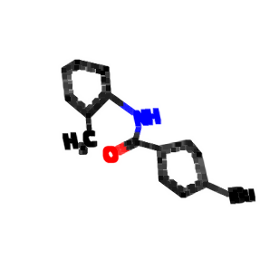 CCC(C)c1ccc(C(=O)Nc2ccccc2C)cc1